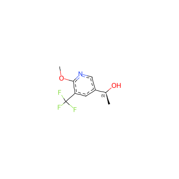 COc1ncc([C@H](C)O)cc1C(F)(F)F